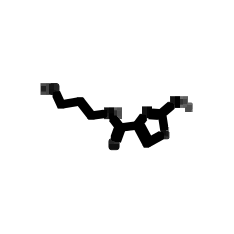 Nc1nc(C(=O)NCCCO)cs1